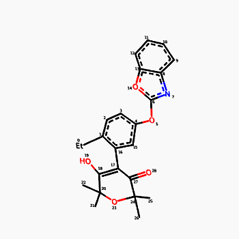 CCc1ccc(Oc2nc3ccccc3o2)cc1C1=C(O)C(C)(C)OC(C)(C)C1=O